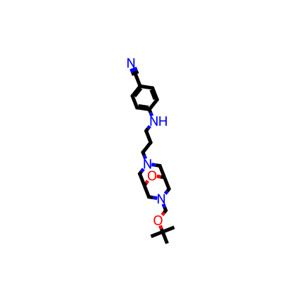 CC(C)(C)OCN1CC2CN(CCCNc3ccc(C#N)cc3)CC(C1)O2